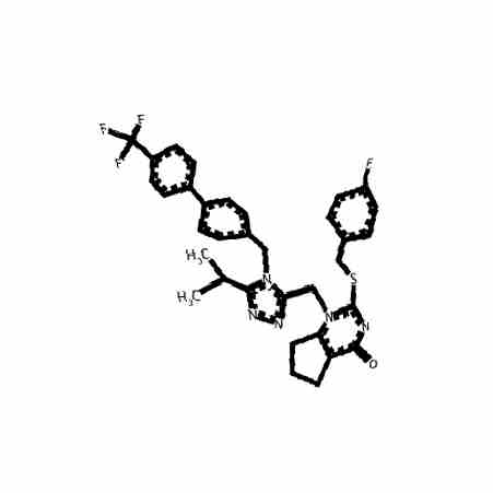 CC(C)c1nnc(Cn2c(SCc3ccc(F)cc3)nc(=O)c3c2CCC3)n1Cc1ccc(-c2ccc(C(F)(F)F)cc2)cc1